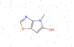 Cn1c(O)cc2ocnc21